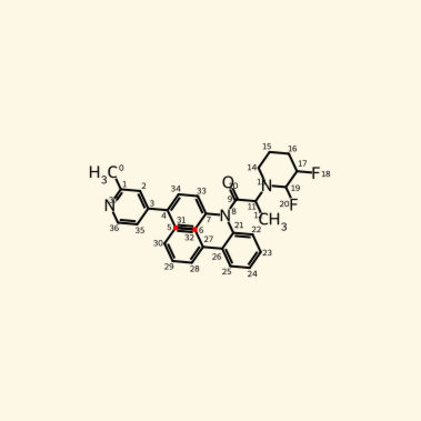 Cc1cc(-c2ccc(N(C(=O)C(C)N3CCCC(F)C3F)c3ccccc3-c3ccccc3)cc2)ccn1